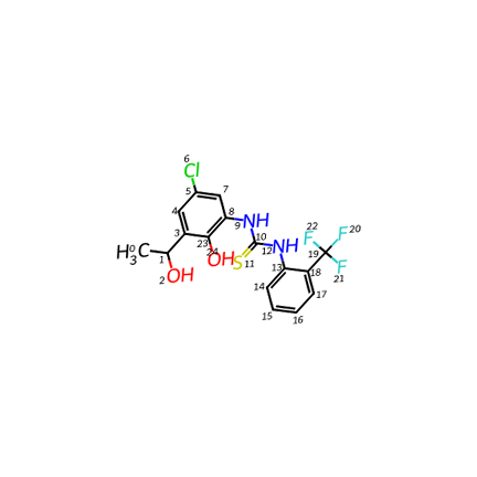 CC(O)c1cc(Cl)cc(NC(=S)Nc2ccccc2C(F)(F)F)c1O